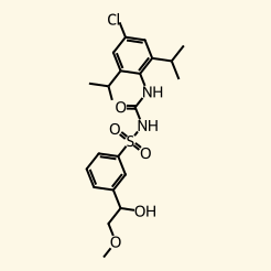 COCC(O)c1cccc(S(=O)(=O)NC(=O)Nc2c(C(C)C)cc(Cl)cc2C(C)C)c1